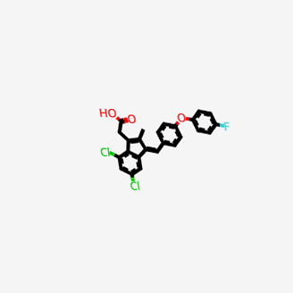 CC1=C(CC(=O)O)c2c(Cl)cc(Cl)cc2/C1=C/c1ccc(Oc2ccc(F)cc2)cc1